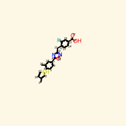 CC1=C[SH](c2ccc(-c3nc(Cc4ccc(C(=O)O)cc4F)no3)cc2C)C=C1